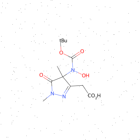 CN1N=C(CC(=O)O)C(C)(N(O)C(=O)OC(C)(C)C)C1=O